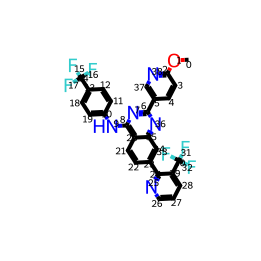 COc1ccc(-c2nc(Nc3ccc(C(F)(F)F)cc3)c3ccc(-c4ncccc4C(F)(F)F)cc3n2)cn1